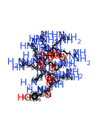 N=C(N)NCCC[C@H](NC(=O)[C@H](CCCNC(=N)N)NC(=O)[C@H](CCCNC(=N)N)NC(=O)[C@H](CCC(N)=O)NC(=O)[C@H](CCCNC(=N)N)NC(=O)[C@H](CCCNC(=N)N)NC(=O)[C@H](CCCCN)NC(=O)[C@H](CCCCN)NC(=O)[C@H](CCCNC(=N)N)NC(=O)CNC(=O)[C@@H](N)Cc1ccc(O)cc1)C(=O)O